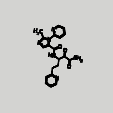 Cc1ncc(C(=O)NC(CCc2ccccn2)C(=O)C(N)=O)n1-c1ccccn1